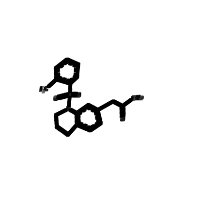 COC(=O)Cc1ccc2c(c1)N(S(=O)(=O)c1ccccc1C(F)(F)F)CCC2